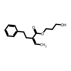 CC=C(CCc1ccccc1)C(=O)OCCCO